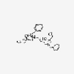 O[C@H](CCl)CN(CCCCN(Cc1ccccc1)C[C@H](O)CCl)Cc1ccccc1